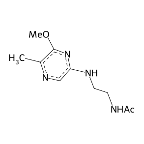 COc1nc(NCCNC(C)=O)cnc1C